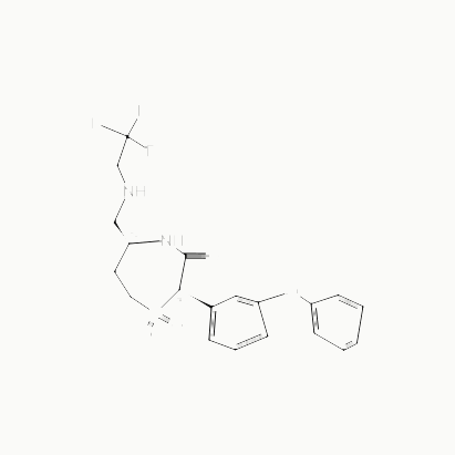 O=C1N[C@H](CNCC(F)(F)F)CCS(=O)(=O)[C@@H]1c1cccc(Oc2ccccc2)c1